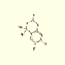 [2H]C1([2H])CC(C)Cc2cc(F)c(F)cc21